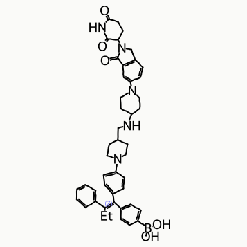 CC/C(=C(\c1ccc(B(O)O)cc1)c1ccc(N2CCC(CNC3CCN(c4ccc5c(c4)C(=O)N(C4CCC(=O)NC4=O)C5)CC3)CC2)cc1)c1ccccc1